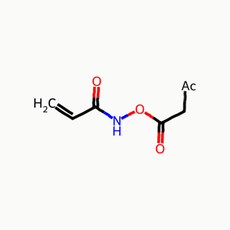 C=CC(=O)NOC(=O)CC(C)=O